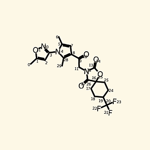 Cc1cc(-n2c(C)cc(C(=O)CN3C(=O)OC4(CCC(C(F)(F)F)CC4)C3=O)c2C)no1